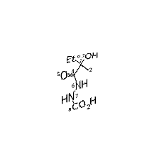 CCC(C)(O)C(=O)NNC(=O)O